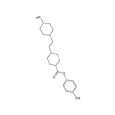 CCCC1CCC(CCC2CCC(C(=O)Oc3ccc(C#N)cc3)CC2)CC1